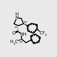 C[C@H](Cc1ccccc1)NC(=O)[C@@H]1CNC[C@H]1c1ccc(C(F)(F)F)cc1